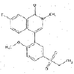 CCS(=O)(=O)c1ccc(OC)c(-c2cn(C)c(=O)c3cc(F)ccc23)c1